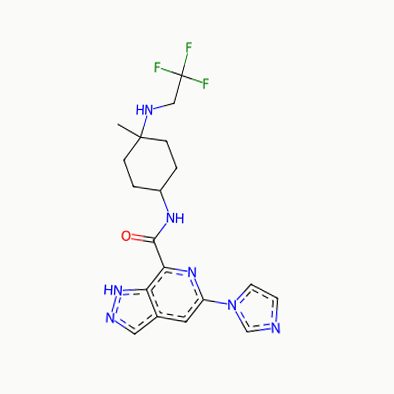 CC1(NCC(F)(F)F)CCC(NC(=O)c2nc(-n3ccnc3)cc3cn[nH]c23)CC1